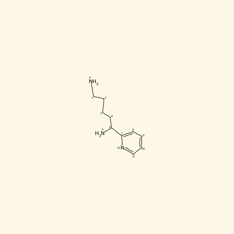 NCCCCC(N)c1ccccn1